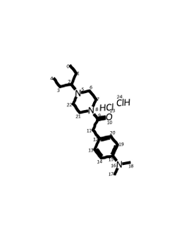 CCC(CC)N1CCN(C(=O)Cc2ccc(N(C)C)cc2)CC1.Cl.Cl